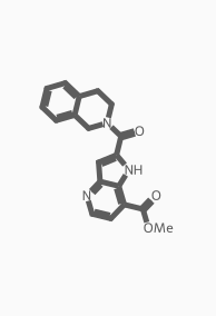 COC(=O)c1ccnc2cc(C(=O)N3CCc4ccccc4C3)[nH]c12